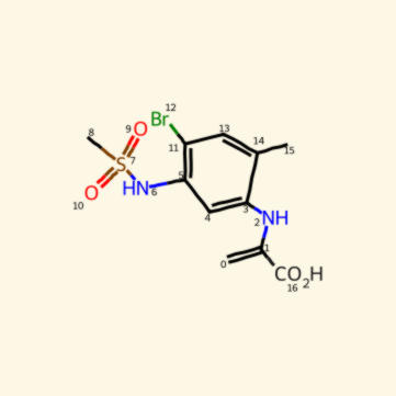 C=C(Nc1cc(NS(C)(=O)=O)c(Br)cc1C)C(=O)O